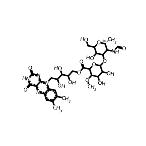 COC1C(C(=O)OCC(O)C(O)C(O)Cn2c3nc(=O)[nH]c(=O)c-3nc3cc(C)c(C)cc32)OC(OC2C(O)C(CO)O[C@H](C)C2NC=O)C(O)C1O